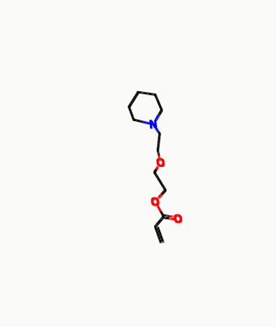 C=CC(=O)OCCOCCN1CCCCC1